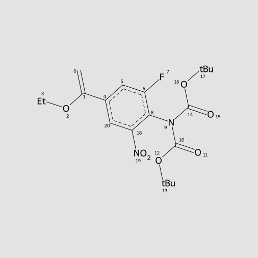 C=C(OCC)c1cc(F)c(N(C(=O)OC(C)(C)C)C(=O)OC(C)(C)C)c([N+](=O)[O-])c1